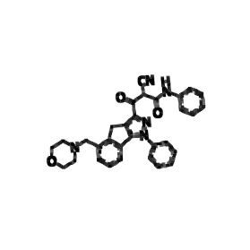 N#CC(C(=O)Nc1ccccc1)C(=O)c1nn(-c2ccccc2)c2c1Cc1c(CN3CCOCC3)cccc1-2